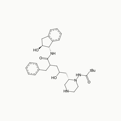 CC(C)(C)C(=O)NN1CCNC[C@@H]1CC(O)CC(Cc1ccccc1)C(=O)N[C@H]1c2ccccc2C[C@@H]1O